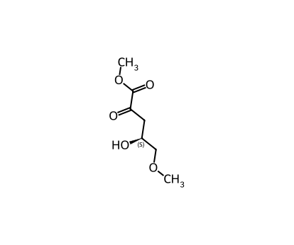 COC[C@@H](O)CC(=O)C(=O)OC